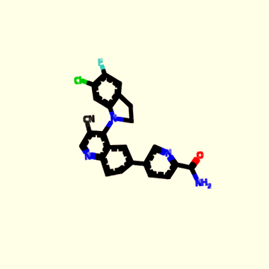 N#Cc1cnc2ccc(-c3ccc(C(N)=O)nc3)cc2c1N1CCc2cc(F)c(Cl)cc21